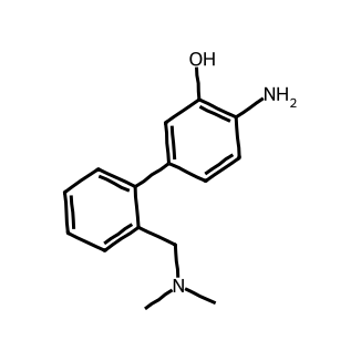 CN(C)Cc1ccccc1-c1ccc(N)c(O)c1